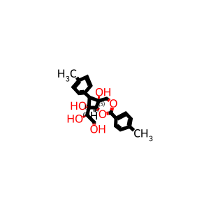 Cc1ccc(C2OC[C@@]3(O)C(c4ccc(C)cc4)[C@@](O)([C@H](O)CO)[C@@H]3O2)cc1